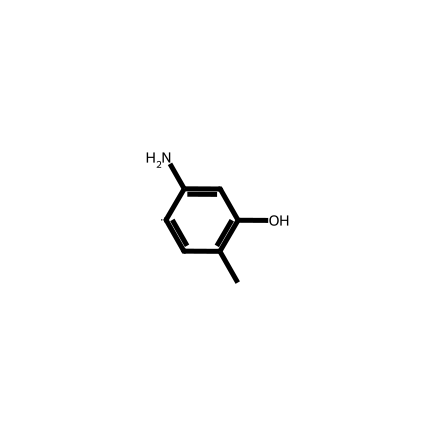 Cc1c[c]c(N)cc1O